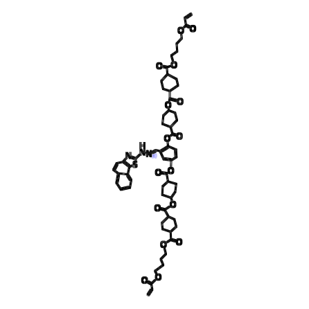 C=CC(=O)OCCCCOC(=O)C1CCC(C(=O)OC2CCC(C(=O)Oc3ccc(OC(=O)C4CCC(OC(=O)C5CCC(C(=O)OCCCCOC(=O)C=C)CC5)CC4)c(/C=N/Nc4nc5ccc6ccccc6c5s4)c3)CC2)CC1